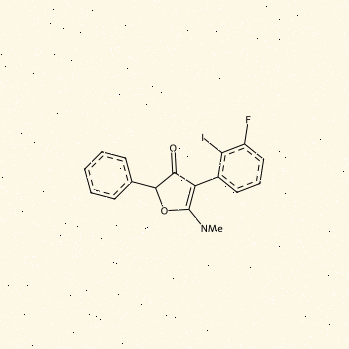 CNC1=C(c2cccc(F)c2I)C(=O)C(c2ccccc2)O1